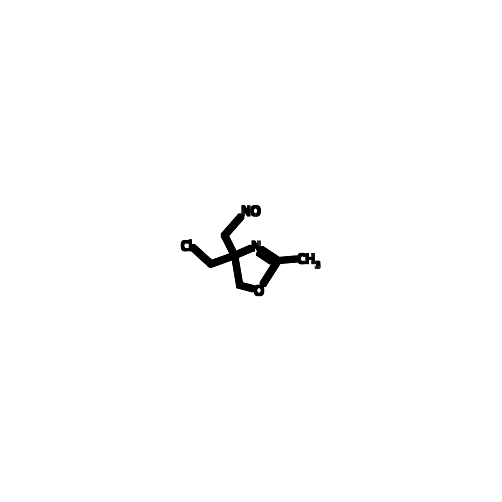 CC1=NC(CCl)(CN=O)CO1